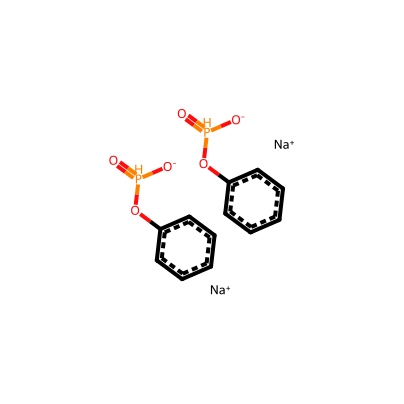 O=[PH]([O-])Oc1ccccc1.O=[PH]([O-])Oc1ccccc1.[Na+].[Na+]